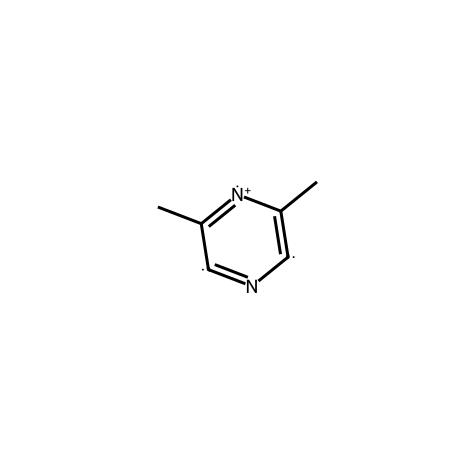 CC1=[C]N=[C]C(C)=[N+]1